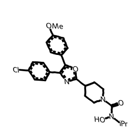 COc1ccc(-c2oc(C3CCN(C(=O)N(O)C(C)C)CC3)nc2-c2ccc(Cl)cc2)cc1